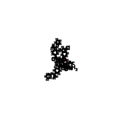 COC(=O)N1CCCC(NC(=O)c2ccc(C3(CN4CCCC4)CC3)cc2)C1(NC(=O)c1ccc2c(Cl)c[nH]c2c1)C1CCN(C(C)=O)C(C(N)=O)C1NC(=O)c1ccc(C2(CN3CCCC3)CC2)cc1